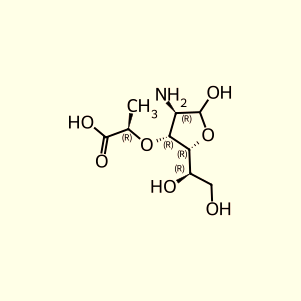 C[C@@H](O[C@H]1[C@@H]([C@H](O)CO)OC(O)[C@@H]1N)C(=O)O